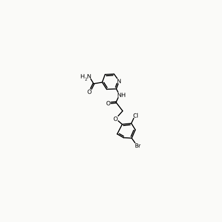 NC(=O)c1ccnc(NC(=O)COc2ccc(Br)cc2Cl)c1